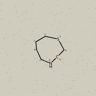 C1CCSCCNC1